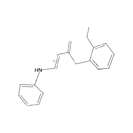 C=C(/C=C/Nc1ccccc1)Cc1ccccc1CC